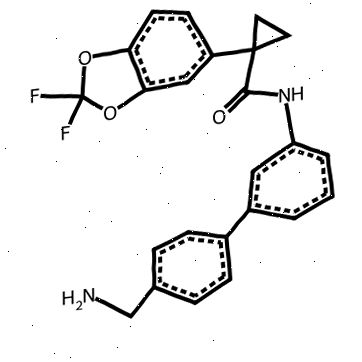 NCc1ccc(-c2cccc(NC(=O)C3(c4ccc5c(c4)OC(F)(F)O5)CC3)c2)cc1